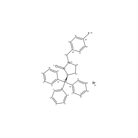 O=C1[C@H]([P+](c2ccccc2)(c2ccccc2)c2ccccc2)CCN1Cc1ccc(F)cc1.[Br-]